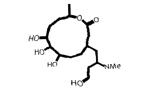 CNC(CCO)CC1CCC(O)C(O)C(O)CCC(C)OC(=O)C1